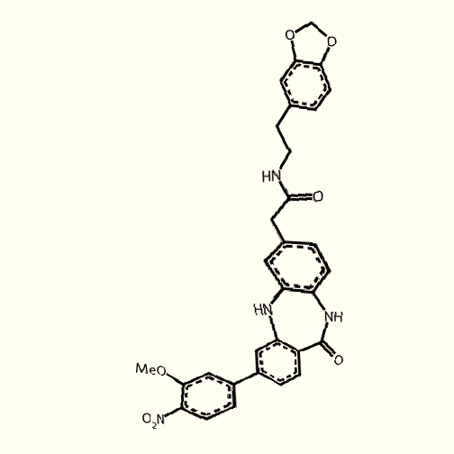 COc1cc(-c2ccc3c(c2)Nc2cc(CC(=O)NCCc4ccc5c(c4)OCO5)ccc2NC3=O)ccc1[N+](=O)[O-]